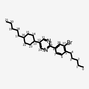 CCCCCc1ccc(-c2ncc(C3CCC(CCCCC)CC3)cn2)cc1Br